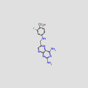 Nc1nc(N)c2nc(CNc3ccc(C(=O)O)c(F)c3)cnc2n1